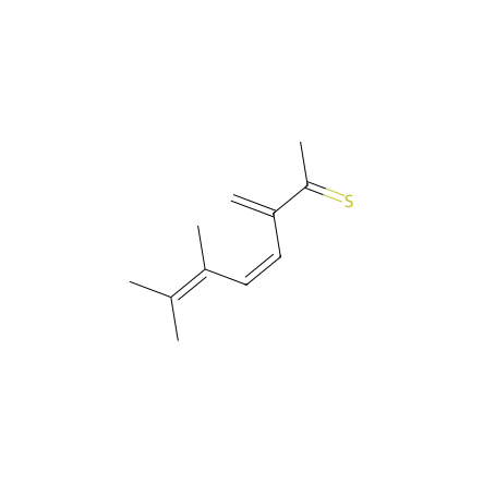 C=C(/C=C\C(C)=C(C)C)C(C)=S